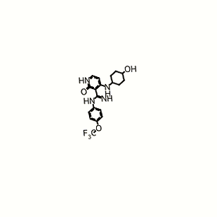 N=C(Nc1ccc(OC(F)(F)F)cc1)c1c(NC2CCC(O)CC2)cc[nH]c1=O